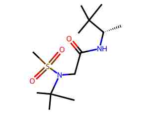 C[C@H](NC(=O)CN(C(C)(C)C)S(C)(=O)=O)C(C)(C)C